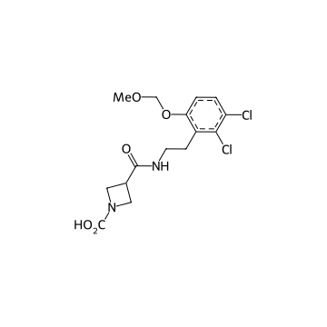 COCOc1ccc(Cl)c(Cl)c1CCNC(=O)C1CN(C(=O)O)C1